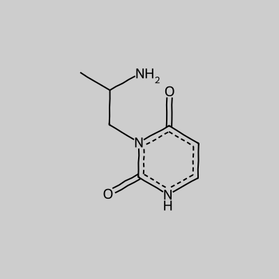 CC(N)Cn1c(=O)cc[nH]c1=O